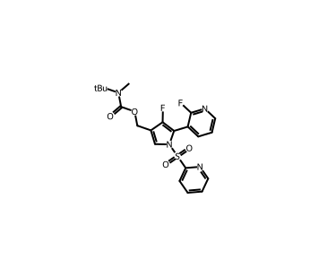 CN(C(=O)OCc1cn(S(=O)(=O)c2ccccn2)c(-c2cccnc2F)c1F)C(C)(C)C